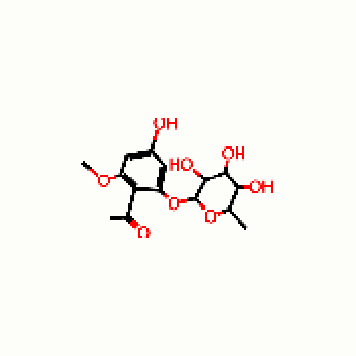 COc1cc(O)cc(OC2OC(C)C(O)C(O)C2O)c1C(C)=O